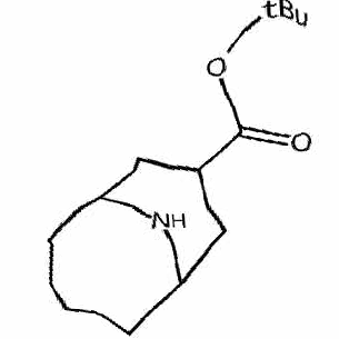 CC(C)(C)OC(=O)C1CC2CCCC(C1)N2